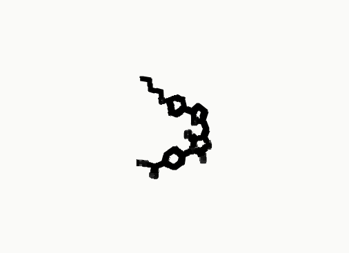 CCCCOc1ccc(-c2ccc(C=C3SC(=S)N(C4CCC(C(=O)O)CC4)C3=O)o2)cc1